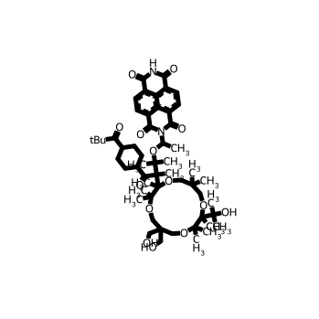 CC(OC(C)(C)C(C)(C(=O)C1CCC(C(=O)C(C)(C)C)CC1)C1(C)OCC(C)(C)COC(C)(C(C)(C)O)C(C)(C)OCC(CO)(CO)COC1(C)C)N1C(=O)c2ccc3c4c(ccc(c24)C1=O)C(=O)NC3=O